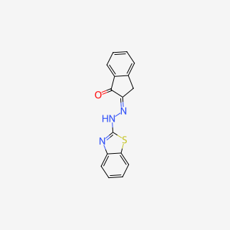 O=C1/C(=N\Nc2nc3ccccc3s2)Cc2ccccc21